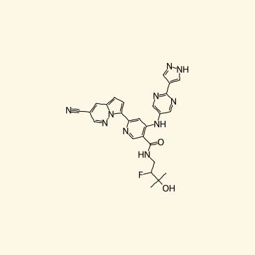 CC(C)(O)C(F)CNC(=O)c1cnc(-c2ccc3cc(C#N)cnn23)cc1Nc1cnc(-c2cn[nH]c2)nc1